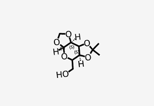 CC1(C)OC2[C@@H](O1)C(CO)O[C@@H]1OCO[C@@H]21